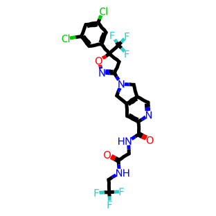 O=C(CNC(=O)c1cc2c(cn1)CN(C1=NOC(c3cc(Cl)cc(Cl)c3)(C(F)(F)F)C1)C2)NCC(F)(F)F